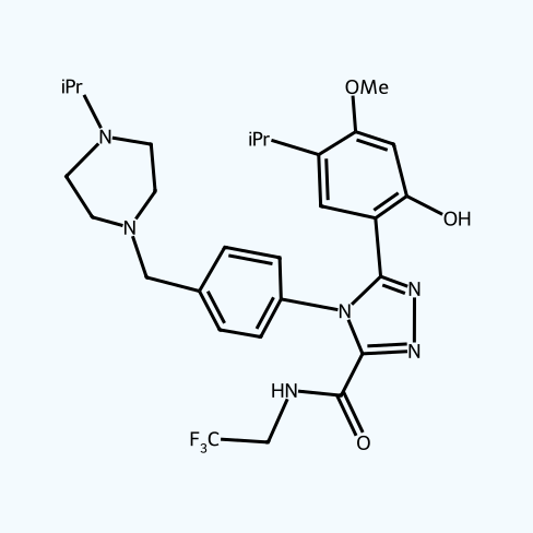 COc1cc(O)c(-c2nnc(C(=O)NCC(F)(F)F)n2-c2ccc(CN3CCN(C(C)C)CC3)cc2)cc1C(C)C